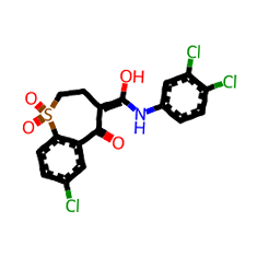 O=C1/C(=C(/O)Nc2ccc(Cl)c(Cl)c2)CCS(=O)(=O)c2ccc(Cl)cc21